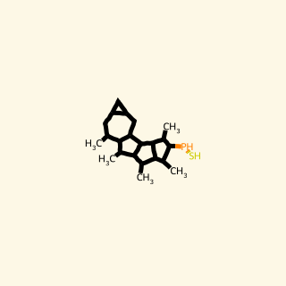 CC1CC2CC2CC2C1C(C)C1C(C)C3C(C)C(PS)C(C)C3C21